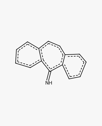 N=c1c2ccccc2ccc2ccccc12